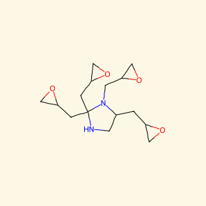 C1OC1CC1CNC(CC2CO2)(CC2CO2)N1CC1CO1